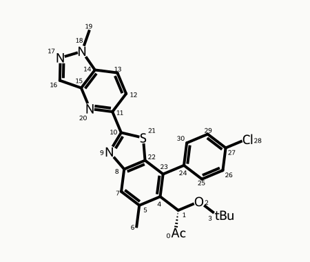 CC(=O)[C@@H](OC(C)(C)C)c1c(C)cc2nc(-c3ccc4c(cnn4C)n3)sc2c1-c1ccc(Cl)cc1